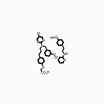 CCc1cnc(N(CCCc2ccc(OCC(=O)O)cc2)Cc2cccc(OC(F)(F)F)c2)nc1.COc1ccc(CCNc2ccccn2)cc1